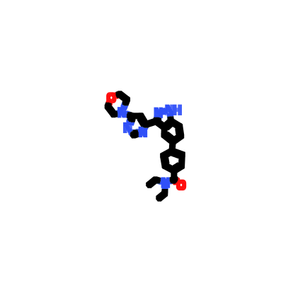 CCN(CC)C(=O)c1ccc(-c2ccc3[nH]nc(-c4cc(N5CCOCC5)ncn4)c3c2)cc1